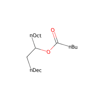 CCCCCCCCCCCC(CCCCCCCC)OC(=O)CCCC